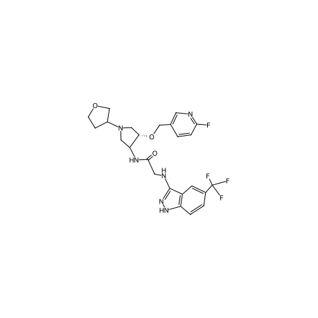 O=C(CNc1n[nH]c2ccc(C(F)(F)F)cc12)NC1CN(C2CCOC2)C[C@@H]1OCc1ccc(F)nc1